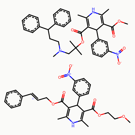 COC(=O)C1=C(C)NC(C)=C(C(=O)OC(C)(C)CN(C)CCC(c2ccccc2)c2ccccc2)C1c1cccc([N+](=O)[O-])c1.COCCOC(=O)C1=C(C)NC(C)=C(C(=O)OC/C=C/c2ccccc2)C1c1cccc([N+](=O)[O-])c1